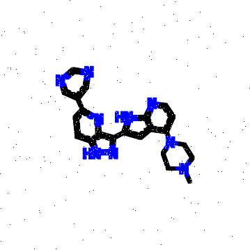 CN1CCN(c2ccnc3[nH]c(-c4n[nH]c5ccc(-c6cncnc6)nc45)cc23)CC1